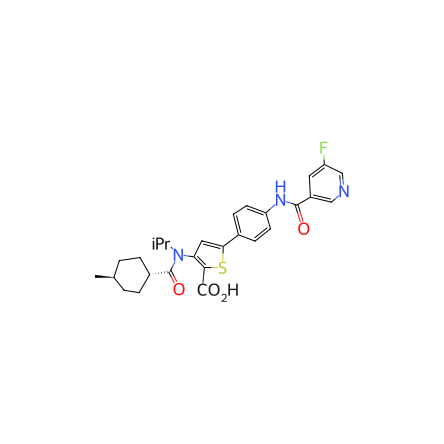 CC(C)N(c1cc(-c2ccc(NC(=O)c3cncc(F)c3)cc2)sc1C(=O)O)C(=O)[C@H]1CC[C@H](C)CC1